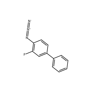 [N-]=[N+]=Nc1ccc(-c2ccccc2)cc1F